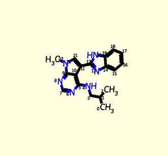 CC(C)CNc1ncnc2c1c(-c1nc3ccccc3[nH]1)cn2C